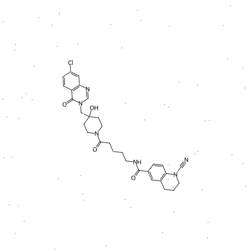 N#CN1CCCc2cc(C(=O)NCCCCC(=O)N3CCC(O)(Cn4cnc5cc(Cl)ccc5c4=O)CC3)ccc21